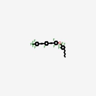 CCCCCc1cc(F)c(C(F)(F)Oc2cc(F)c(C#Cc3ccc(C#Cc4cc(F)c(C(F)(F)F)c(F)c4)c(F)c3)c(F)c2)c(F)c1